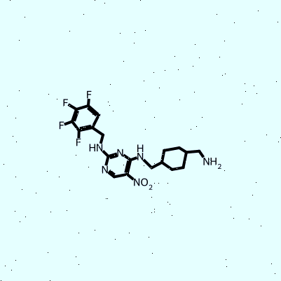 NCC1CCC(CNc2nc(NCc3cc(F)c(F)c(F)c3F)ncc2[N+](=O)[O-])CC1